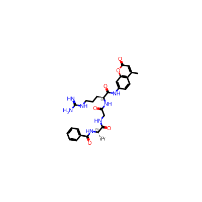 Cc1cc(=O)oc2cc(NC(=O)[C@H](CCCNC(=N)N)NC(=O)CNC(=O)[C@@H](NC(=O)c3ccccc3)C(C)C)ccc12